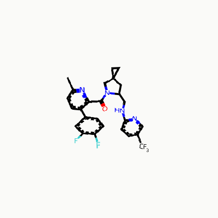 Cc1ccc(-c2ccc(F)c(F)c2)c(C(=O)N2CC3(CC3)CC2CNc2ccc(C(F)(F)F)cn2)n1